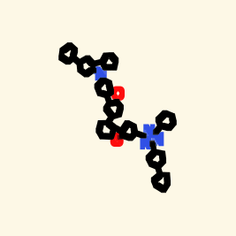 c1ccc(-c2ccc(-c3nc(-c4ccccc4)nc(-c4ccc5c(c4)oc4cccc(-c6ccc7oc8cc(-n9c%10ccccc%10c%10cc(-c%11ccccc%11)ccc%109)ccc8c7c6)c45)n3)cc2)cc1